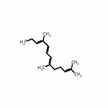 CC(C)=CCCC(C)=CC=CC(C)=CCP